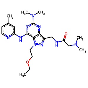 CCOCCn1nc(CNC(=O)CN(C)C)c2nc(N(C)C)nc(Nc3cc(C)ccn3)c21